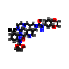 CN1CCN(CCCN(Cc2ccc(C(=O)Nc3ccccc3NC(=O)OC(C)(C)C)nc2)C(=O)Nc2ccc3c(c2)OCCO3)CC1